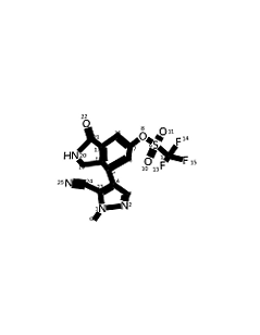 Cn1ncc(-c2cc(OS(=O)(=O)C(F)(F)F)cc3c2CNC3=O)c1C#N